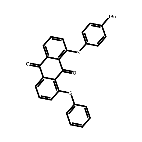 CC(C)(C)c1ccc(Sc2cccc3c2C(=O)c2c(Sc4ccccc4)cccc2C3=O)cc1